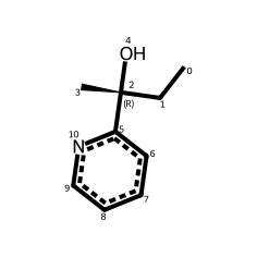 CC[C@@](C)(O)c1ccccn1